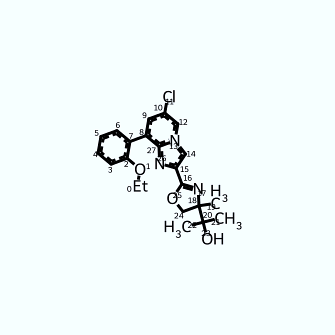 CCOc1ccccc1-c1cc(Cl)cn2cc(C3=NC(C)(C(C)(C)O)CO3)nc12